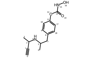 C#CC(C)NC(C)Cc1ccc(OC(=O)NO)cc1